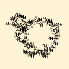 [2H]C1=C([2H])/C([2H])=C(\C([2H])([2H])[2H])[C@@]([2H])(OC([2H])([2H])[2H])C([2H])([2H])[C@@]2([2H])O[C@@](O)(C(=O)C(=O)N3C([2H])([2H])C([2H])([2H])C([2H])([2H])C([2H])([2H])[C@@]3([2H])C(=O)O[C@]([2H])([C@]([2H])(C)C([2H])([2H])[C@]3([2H])C([2H])([2H])C([2H])([2H])[C@@]([2H])(O)[C@]([2H])(OC)C3([2H])[2H])C([2H])([2H])C(=O)[C@]([2H])(C)/C([2H])=C(\C)[C@@]([2H])(O)[C@@]([2H])(OC)C(=O)[C@]([2H])(C)C([2H])(C)[C@]([2H])(C)\C([2H])=C\1[2H])[C@]([2H])(C)C([2H])([2H])C2([2H])[2H]